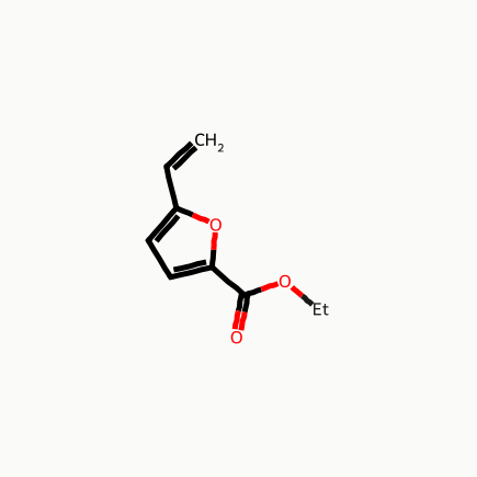 C=Cc1ccc(C(=O)OCC)o1